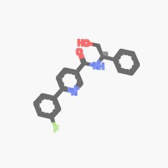 O=C(N[C@@H](CO)c1ccccc1)c1ccc(-c2cccc(F)c2)nc1